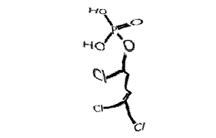 O=P(O)(O)OC(Cl)C=C(Cl)Cl